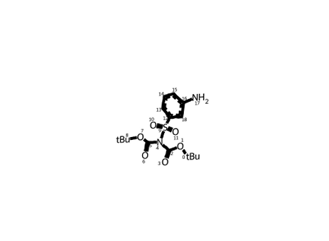 CC(C)(C)OC(=O)N(C(=O)OC(C)(C)C)S(=O)(=O)c1cccc(N)c1